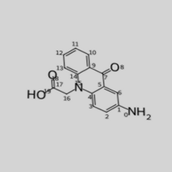 Nc1ccc2c(c1)c(=O)c1ccccc1n2CC(=O)O